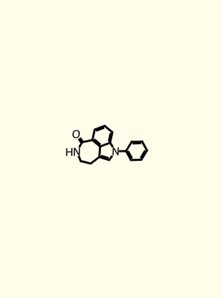 O=C1NCCc2cn(-c3ccccc3)c3cccc1c23